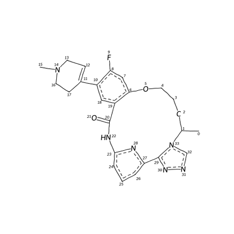 CC1CCCOc2cc(F)c(C3=CCN(C)CC3)cc2C(=O)Nc2cccc(n2)-c2nncn21